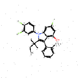 CC(C)(CC#N)c1c(-c2ccccc2C(=O)O)c2c(O)cc(F)cc2n1-c1ccc(F)c(F)c1